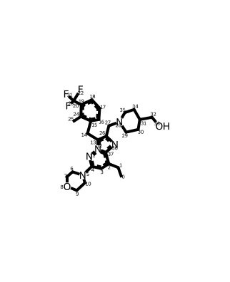 CCc1cc(N2CCOCC2)nn2c(Cc3cccc(C(F)(F)F)c3C)c(CN3CCC(CO)CC3)nc12